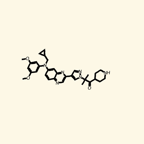 COc1cc(OC)cc(N(CC2CC2)c2ccc3ncc(-c4cnn(C(C)(C)C(=O)C5CCNCC5)c4)nc3c2)c1